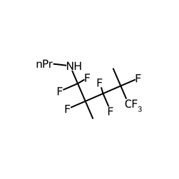 CCCNC(F)(F)C(C)(F)C(F)(F)C(C)(F)C(F)(F)F